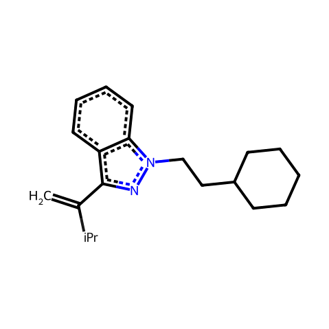 C=C(c1nn(CCC2CCCCC2)c2ccccc12)C(C)C